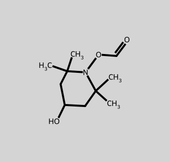 CC1(C)CC(O)CC(C)(C)N1OC=O